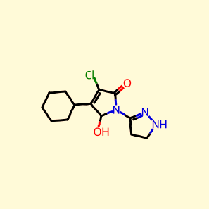 O=C1C(Cl)=C(C2CCCCC2)C(O)N1C1=NNCC1